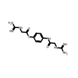 N=C(N)NCC(=O)Nc1ccc(OC(=O)CNC(=N)N)cc1